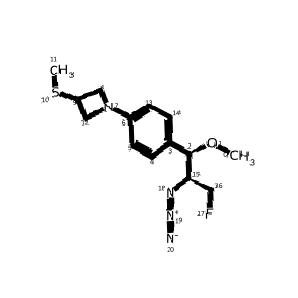 CO[C@H](c1ccc(N2CC(SC)C2)cc1)[C@@H](CF)N=[N+]=[N-]